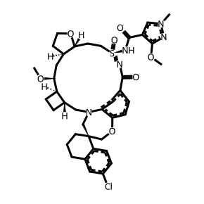 COc1nn(C)cc1C(=O)N[S@@]1(=O)=NC(=O)c2ccc3c(c2)N(C[C@@H]2CC[C@H]2[C@@H](OC)C[C@H]2CCO[C@@H]2CC1)C[C@@]1(CCCc2cc(Cl)ccc21)CO3